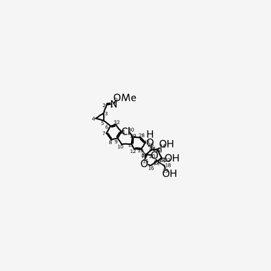 CON=CC1CC1c1ccc(Cc2cc([C@]34OC[C@](CO)(O3)[C@@H](O)[C@H](O)[C@H]4O)ccc2Cl)cc1